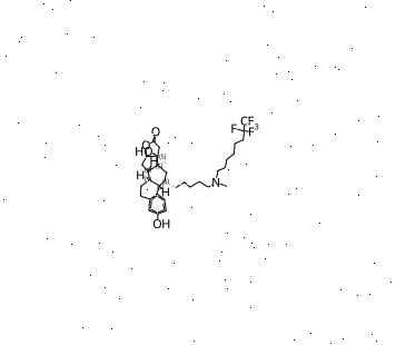 CN(CCCCCCC(F)(F)C(F)(F)F)CCCCC[C@H]1C[C@@]2(C)[C@@H](CC3OC(=O)C[C@@]32O)[C@@H]2CCc3cc(O)ccc3[C@@H]12